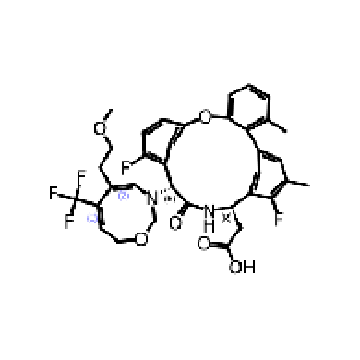 COCCC1=C/N([C@H]2C(=O)N[C@H](CC(=O)O)c3cc(cc(C)c3F)-c3c(C)cccc3Oc3ccc(F)c2c3)COC/C=C\1C(F)(F)F